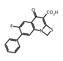 O=C(O)c1c2n(c3cc(-c4ccccc4)c(F)cc3c1=O)CS2